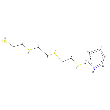 SCCSCCSCCSc1ccccn1